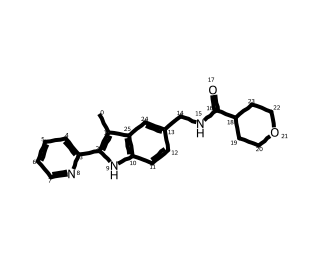 Cc1c(-c2ccccn2)[nH]c2ccc(CNC(=O)C3CCOCC3)cc12